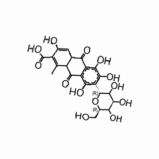 CC1=C(C(=O)O)C(O)=CC2C(=O)c3c(O)c(O)c([C@H]4O[C@H](CO)C(O)C(O)C4O)c(O)c3C(=O)C12